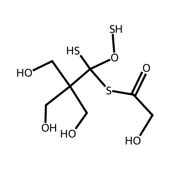 O=C(CO)SC(S)(OS)C(CO)(CO)CO